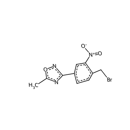 Cc1nc(-c2ccc(CBr)c([N+](=O)[O-])c2)no1